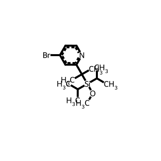 CO[Si](C(C)C)(C(C)C)C(C)(C)c1cc(Br)ccn1